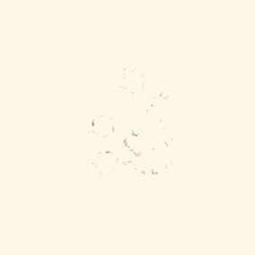 CC(=O)O[C@H]1O[C@H](COC(=O)c2ccccc2)[C@@H](OC(=O)c2ccccc2)C1(C)OC(=O)c1ccccc1